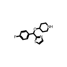 Fc1ccc(C(OC2CCNCC2)c2nccs2)cc1